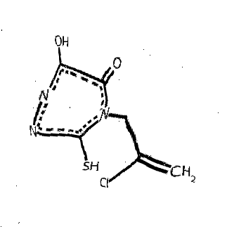 C=C(Cl)Cn1c(S)nnc(O)c1=O